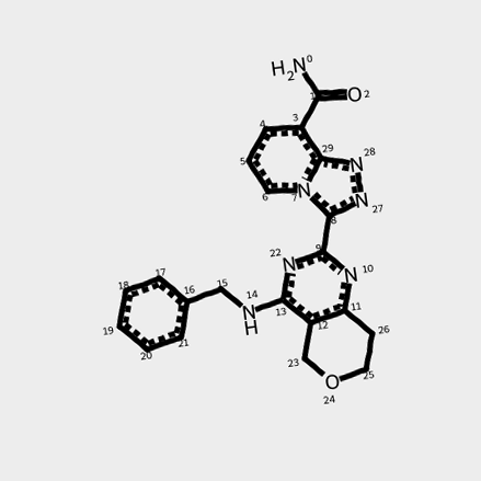 NC(=O)c1cccn2c(-c3nc4c(c(NCc5ccccc5)n3)COCC4)nnc12